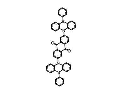 O=C1c2ccc(N3c4ccccc4B(c4ccccc4)c4ccccc43)cc2C(=O)c2ccc(N3c4ccccc4B(c4ccccc4)c4ccccc43)cc21